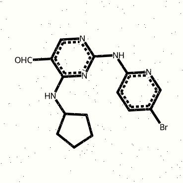 O=Cc1cnc(Nc2ccc(Br)cn2)nc1NC1CCCC1